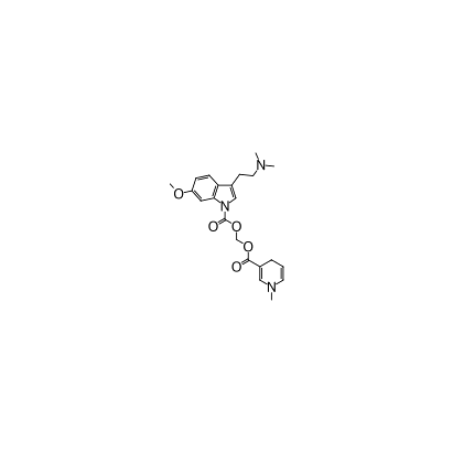 COc1ccc2c(CCN(C)C)cn(C(=O)OCOC(=O)C3=CN(C)C=CC3)c2c1